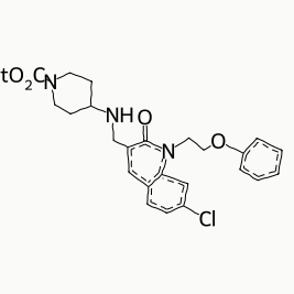 CCOC(=O)N1CCC(NCc2cc3ccc(Cl)cc3n(CCOc3ccccc3)c2=O)CC1